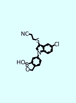 N#CCCSc1cn(-c2ccc3c(c2)B(O)OC3)c2ccc(Cl)cc12